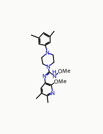 CONC(=Nc1cc(C)c(C)nc1OC)N1CCN(c2cc(C)cc(C)c2)CC1